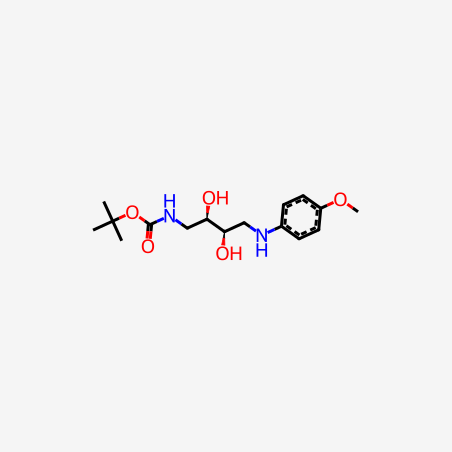 COc1ccc(NC[C@@H](O)[C@H](O)CNC(=O)OC(C)(C)C)cc1